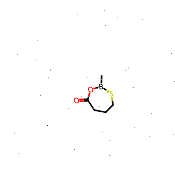 CB1OC(=O)CCCS1